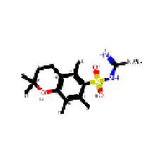 CNC(=N)NS(=O)(=O)c1c(C)c(C)c2c(c1C)CCC(C)(C)O2